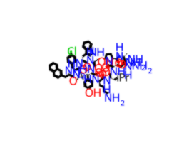 CC(=O)N(C(=O)[C@@H](N)Cc1ccc2ccccc2c1)[C@@H](Cc1ccc(Cl)cc1)C(=O)N[C@H](Cc1c[nH]c2ccccc12)C(=O)N[C@@H](CO)C(=O)N[C@@H](Cc1ccc(O)cc1)C(=O)N[C@H](CCCCN)C(=O)N[C@@H](CC(C)C)C(=O)N[C@@H](CCCNC(=N)N)C(=O)N1CCC[C@H]1C(=O)N[C@H](C)C(N)=O